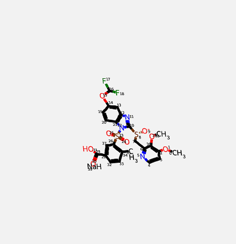 COc1ccnc(C[S+]([O-])c2nc3cc(OC(F)F)ccc3n2S(=O)(=O)c2cc(C(=O)O)ccc2C)c1OC.[NaH]